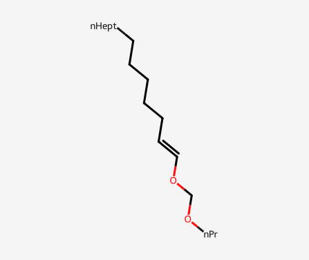 CCCCCCCCCCCCC=COCOCCC